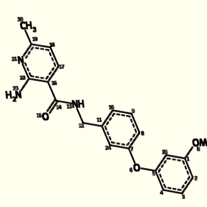 COc1cccc(Oc2cccc(CNC(=O)c3ccc(C)nc3N)c2)c1